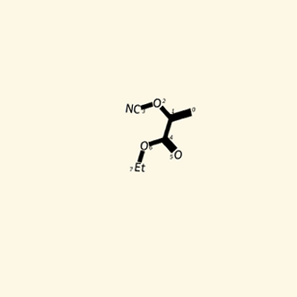 C=C(OC#N)C(=O)OCC